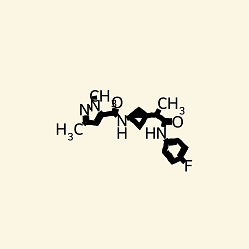 Cc1cc(C(=O)NC23CC(C(C)C(=O)Nc4ccc(F)cc4)(C2)C3)n(C)n1